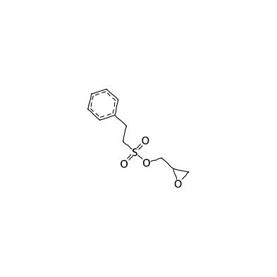 O=S(=O)(CCc1ccccc1)OCC1CO1